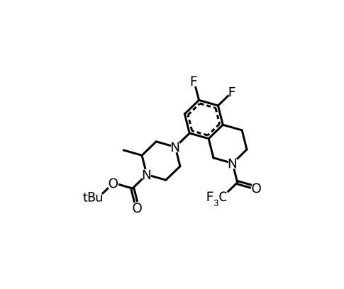 CC1CN(c2cc(F)c(F)c3c2CN(C(=O)C(F)(F)F)CC3)CCN1C(=O)OC(C)(C)C